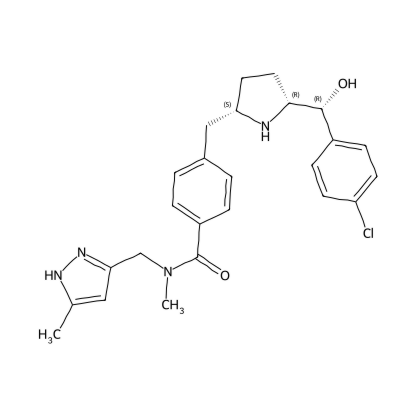 Cc1cc(CN(C)C(=O)c2ccc(C[C@@H]3CC[C@H]([C@H](O)c4ccc(Cl)cc4)N3)cc2)n[nH]1